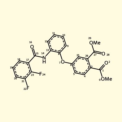 COC(=O)c1ccc(Oc2ccccc2NC(=O)c2cccc(F)c2F)cc1C(=O)OC